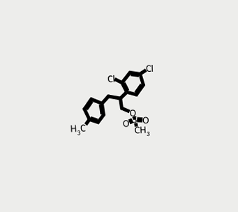 Cc1ccc(CC(COS(C)(=O)=O)c2ccc(Cl)cc2Cl)cc1